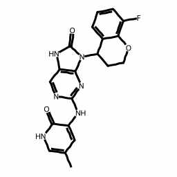 Cc1c[nH]c(=O)c(Nc2ncc3[nH]c(=O)n(C4CCOc5c(F)cccc54)c3n2)c1